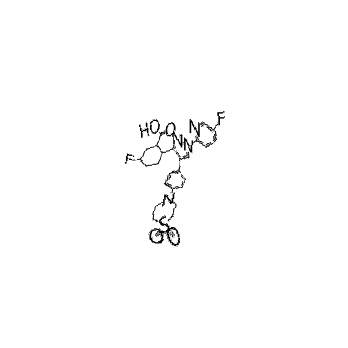 O=C(O)C1CC(F)CCC1c1nn(-c2ccc(F)cn2)cc1-c1ccc(N2CCS(=O)(=O)CC2)cc1